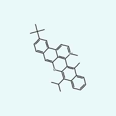 Cc1c2c(c(C(C)C)c3ccccc13)Oc1cc3ccc(C(C)(C)C)cc3c3cc[n+](C)c-2c13